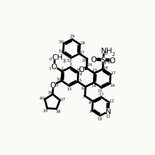 COc1ccc(C(Cc2ccncc2)c2cccc(S(N)(=O)=O)c2C(=O)Cc2ccccc2)cc1OC1CCCC1